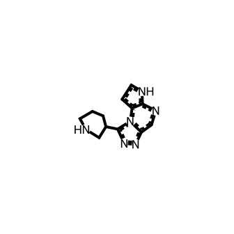 c1cc2c(ncc3nnc(C4CCCNC4)n32)[nH]1